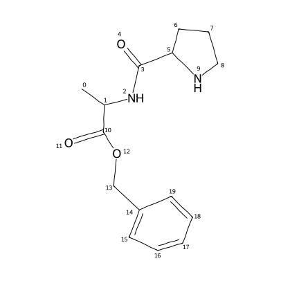 CC(NC(=O)C1CCCN1)C(=O)OCc1ccccc1